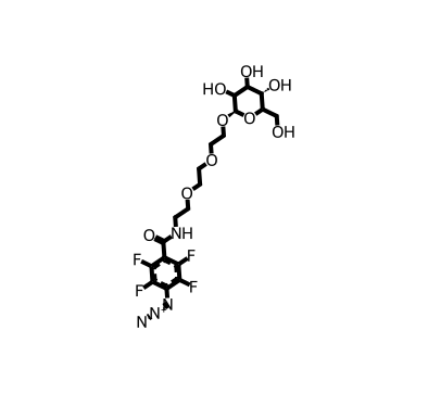 [N-]=[N+]=Nc1c(F)c(F)c(C(=O)NCCOCCOCCO[C@@H]2OC(CO)[C@@H](O)C(O)C2O)c(F)c1F